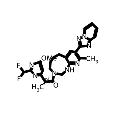 COc1cc([C@H](C)C(=O)N2CCCCc3cc(-c4nc5ccccn5n4)c(C)nc3NC2)nc(C(F)F)n1